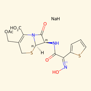 CC(=O)OCC1=C(C(=O)O)N2C(=O)[C@@H](NC(=O)/C(=N\O)c3cccs3)[C@H]2SC1.[NaH]